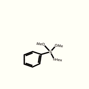 CCCCCC[Si](OC)(OC)c1ccccc1